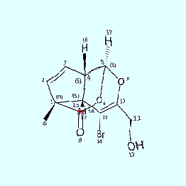 C[C@]12C=C[C@@H]3[C@H](OC1=O)OC(CO)=C(Br)[C@@H]32